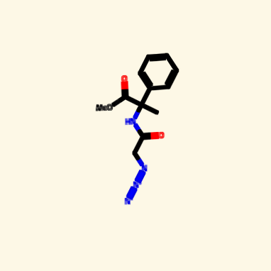 COC(=O)C(C)(NC(=O)CN=[N+]=[N-])c1ccccc1